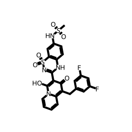 CS(=O)(=O)Nc1ccc2c(c1)S(=O)(=O)N=C(c1c(O)n3ccccc3c(Cc3cc(F)cc(F)c3)c1=O)N2